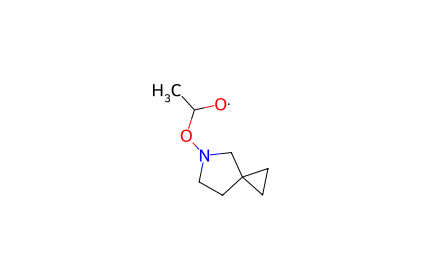 CC([O])ON1CCC2(CC2)C1